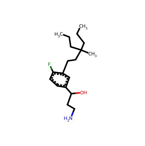 CCCC(C)(CCC)CCc1cc(C(O)CCN)ccc1F